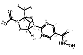 CC(C)[C@]12C[C@@H](CN1C(=O)O)N(c1ncc(C(=O)NO)cn1)C2